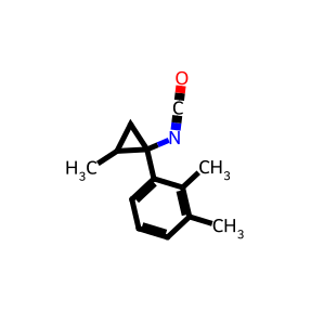 Cc1cccc(C2(N=C=O)CC2C)c1C